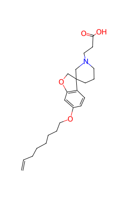 C=CCCCCCCOc1ccc2c(c1)OCC21CCCN(CCC(=O)O)C1